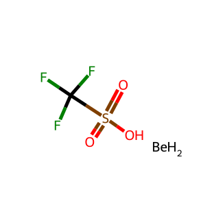 O=S(=O)(O)C(F)(F)F.[BeH2]